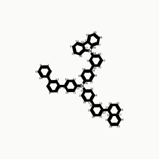 c1ccc(-c2cccc(-c3ccc(N(c4ccc(-c5cccc(-c6cccc7ccccc67)c5)cc4)c4ccc(-c5cccc(-n6c7ccccc7c7ccccc76)c5)cc4)cc3)c2)cc1